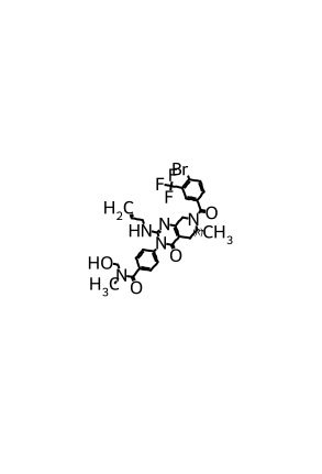 C=CCNc1nc2c(c(=O)n1-c1ccc(C(=O)N(C)CO)cc1)C[C@@H](C)N(C(=O)c1ccc(Br)c(C(F)(F)F)c1)C2